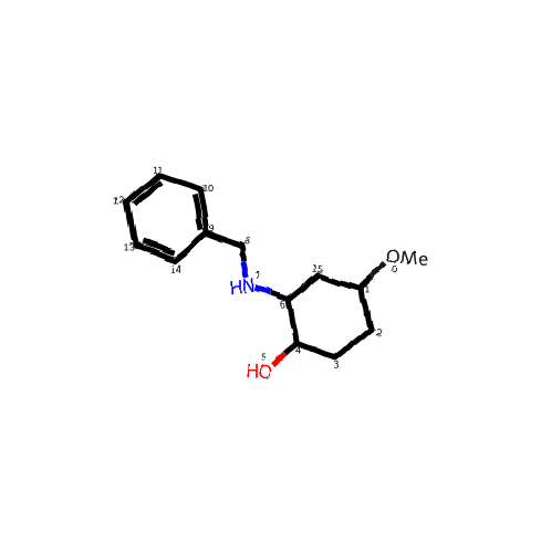 COC1CCC(O)C(NCc2ccccc2)C1